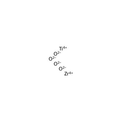 [O-2].[O-2].[O-2].[O-2].[Ti+4].[Zr+4]